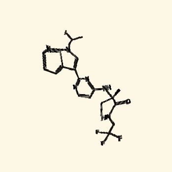 CC[C@](C)(Nc1ccnc(-c2cn(C(C)I)c3ncccc23)n1)C(=O)NCC(F)(F)F